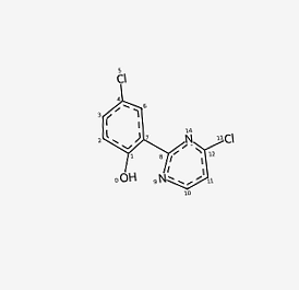 Oc1ccc(Cl)cc1-c1nccc(Cl)n1